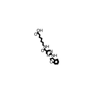 O=C(O)CCCCCCNC(=O)c1cnc(N[C@H]2COc3ccccc32)nc1